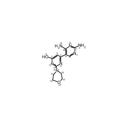 Nc1ncc(-c2cc(O)nc(N3CCOCC3)n2)c(N)n1